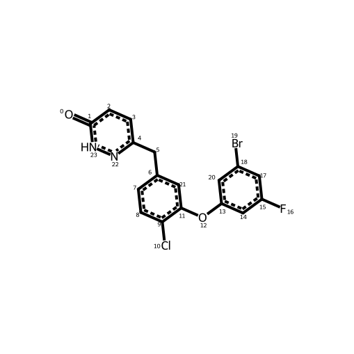 O=c1ccc(Cc2ccc(Cl)c(Oc3cc(F)cc(Br)c3)c2)n[nH]1